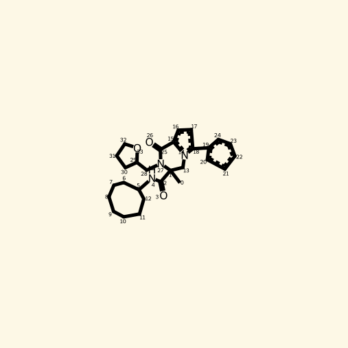 CC1(C(=O)NC2CCCCCCC2)Cn2c(ccc2-c2ccccc2)C(=O)N1CC1CCCO1